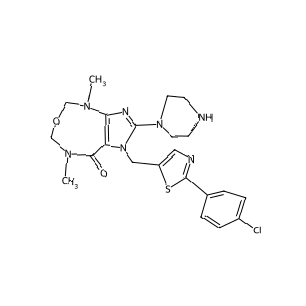 CN1COCN(C)c2nc(N3CCNCC3)n(Cc3cnc(-c4ccc(Cl)cc4)s3)c2C1=O